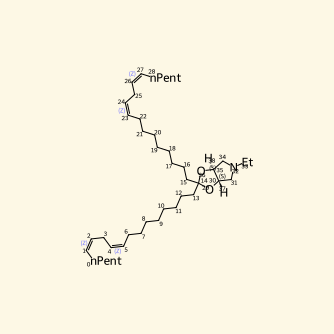 CCCCC/C=C\C/C=C\CCCCCCCCC1(CCCCCCCC/C=C\C/C=C\CCCCC)O[C@H]2CN(CC)C[C@@H]2O1